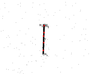 CCCCCCCCCCCCCCCCCCCCCCCCCCCCCCCCCCCCCCCC[N+](C)(C)C.[Cl-]